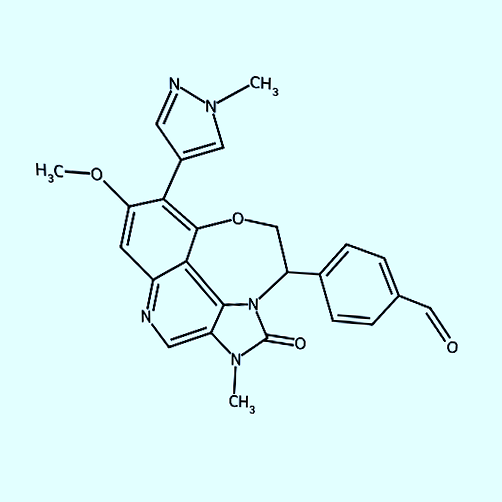 COc1cc2ncc3c4c2c(c1-c1cnn(C)c1)OCC(c1ccc(C=O)cc1)n4c(=O)n3C